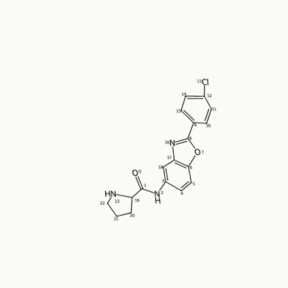 O=C(Nc1ccc2oc(-c3ccc(Cl)cc3)nc2c1)C1CCCN1